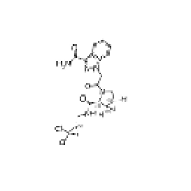 NC(=O)c1nn(CC(=O)N2C[C@H]3C[C@H]3[C@H]2C(=O)NC[C@@H]2CC2(Cl)Cl)c2ccccc12